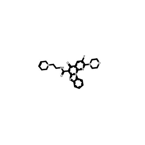 O=C(NCCN1CC=CCC1)c1c(=O)c2cc(F)c(N3CCOCC3)nc2n2c1sc1ccccc12